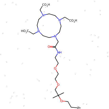 CC(C)CCOC(C)(C)COCCOCCNC(=O)CN1CCN(CC(=O)O)CCN(CC(=O)O)CCN(CC(=O)O)CC1